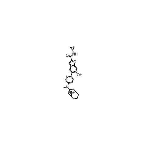 CN(c1ccc(-c2cc3cc(C(=O)NC4CC4)oc3cc2O)nn1)C1CC2CCCC(C1)N2